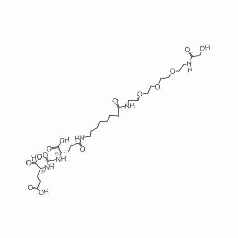 O=C(O)CC[C@H](NC(=O)N[C@@H](CCC(=O)NCCCCCCCC(=O)NCCOCCOCCOCCNC(=O)CO)C(=O)O)C(=O)O